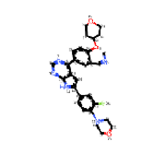 C/N=C\c1cc(-c2ncnc3[nH]c(-c4ccc(N5CCOCC5)c(F)c4)cc23)ccc1OC1CCOCC1